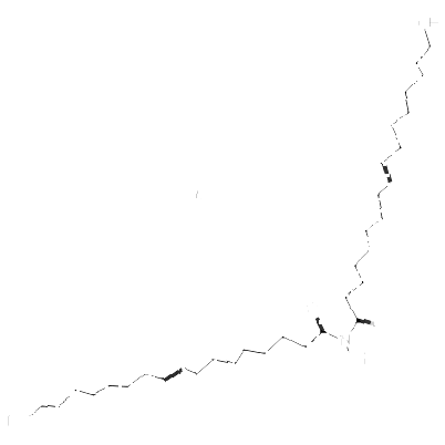 CCCCCCCCC=CCCCCCCCC(=O)N(C)C(=O)CCCCCCCC=CCCCCCCCC.Cl